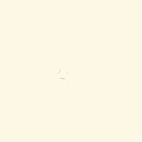 CCCCCCSc1cc(C(C)(C)C)c(O)c(C(C)(C)C)c1